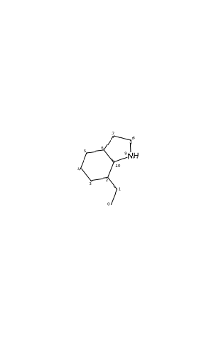 CCC1CCCC2CCNC12